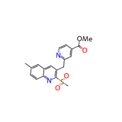 COC(=O)c1ccnc(Cc2cc3cc(C)ccc3nc2S(C)(=O)=O)c1